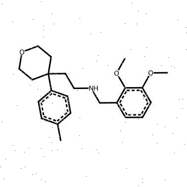 COc1cccc(CNCCC2(c3ccc(C)cc3)CCOCC2)c1OC